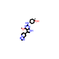 COc1nc(N[C@H]2CC[C@@](C)(O)CC2)nc2[nH]cc(-c3ccn4ncnc4c3)c12